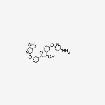 Nc1ccc(Oc2cccc(C3CC(O)c4cc(Oc5ccc(N)cn5)ccc4O3)c2)nc1